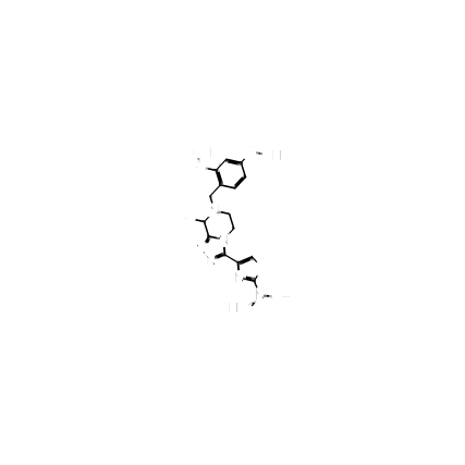 COc1ccc(CN2CCn3c(-c4csc(N(C)C)n4)nnc3C2C)c(OC)c1